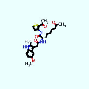 COc1ccc2[nH]c(C)c(CC(=O)N[C@@H](CCCCCC(C)=O)C(=O)Nc3ccsc3C(C)=O)c2c1